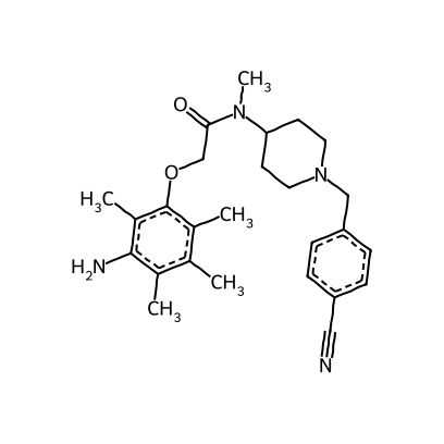 Cc1c(C)c(N)c(C)c(OCC(=O)N(C)C2CCN(Cc3ccc(C#N)cc3)CC2)c1C